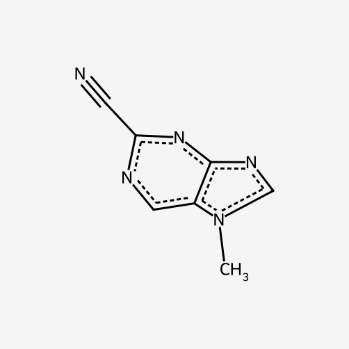 Cn1cnc2nc(C#N)ncc21